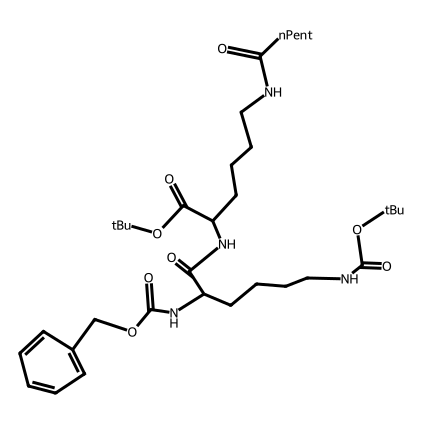 CCCCCC(=O)NCCCCC(NC(=O)C(CCCCNC(=O)OC(C)(C)C)NC(=O)OCc1ccccc1)C(=O)OC(C)(C)C